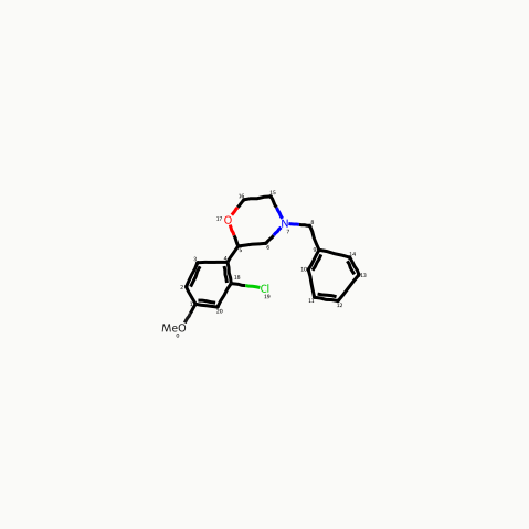 COc1ccc(C2CN(Cc3ccccc3)CCO2)c(Cl)c1